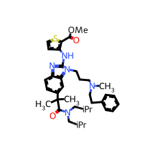 COC(=O)c1sccc1Nc1nc2ccc(C(C)(C)C(=O)N(CC(C)C)CC(C)C)cc2n1CCCN(C)CCc1ccccc1